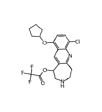 O=C(OC1CNCCc2nc3c(Cl)ccc(OC4CCCC4)c3cc21)C(F)(F)F